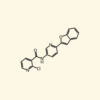 O=C(Nc1ccc(-c2cc3ccccc3o2)nc1)c1cccnc1Cl